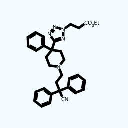 CCOC(=O)CCn1nnc(C2(c3ccccc3)CCN(CCC(C#N)(c3ccccc3)c3ccccc3)CC2)n1